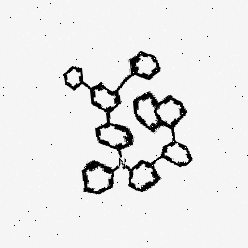 c1ccc(-c2cc(-c3ccccc3)cc(-c3ccc(N(c4ccccc4)c4cccc(-c5cccc(-c6cccc7ccccc67)c5)c4)cc3)c2)cc1